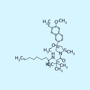 C=CCCCCCC(=O)N[C@H](C(=O)N1C[C@](OC)(c2ccc3cc(OC)c(C=C)cc3c2)C[C@H]1C)C(C)(C)C